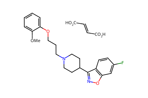 COc1ccccc1OCCCN1CCC(c2noc3cc(F)ccc23)CC1.O=C(O)C=CC(=O)O